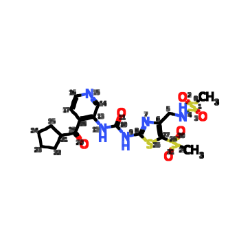 CS(=O)(=O)NCc1nc(NC(=O)Nc2cnccc2C(=O)C2CCCC2)sc1S(C)(=O)=O